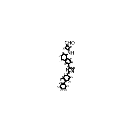 Cc1cc(-c2nc(-c3ccc4c(c3)CCCC4N[C@H]3C[C@H](C=O)C3)no2)ccc1-c1ccccc1